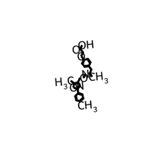 CC(Cc1ccc(OCC(=O)O)cc1)=NOCc1nc(-c2ccc(C)cc2)oc1C